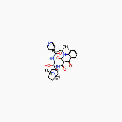 CC(C)N1C(=O)C(C(=O)N[C@@H]2C[C@H]3CC[C@@H](C2)N3CC(O)CNC(=O)c2ccncc2)C(=O)c2ccccc21